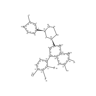 Cc1cc([C@@H]2C[C@H](c3cc(-c4ccc(Cl)c(F)c4F)c4cc(C)c(C)nc4n3)CCO2)ccn1